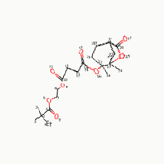 CCC(C)(C)C(=O)OCCOC(=O)CCC(=O)OC1(C)CCC2CC1(C)OC2=O